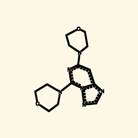 c1nc2cc(N3CCOCC3)nc(N3CCOCC3)n2n1